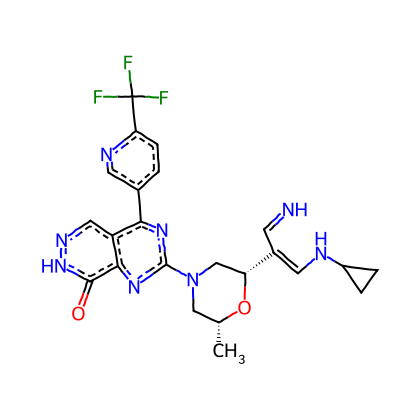 C[C@@H]1CN(c2nc(-c3ccc(C(F)(F)F)nc3)c3cn[nH]c(=O)c3n2)C[C@H](/C(C=N)=C/NC2CC2)O1